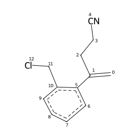 C=C(CCC#N)c1ccccc1CCl